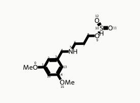 COc1cc(CNCCCO[SH](=O)=O)cc(OC)c1